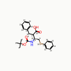 CC(C)(C)OC(=O)N[C@H](CSc1ccccc1)C(Cc1ccccc1)C(=O)O